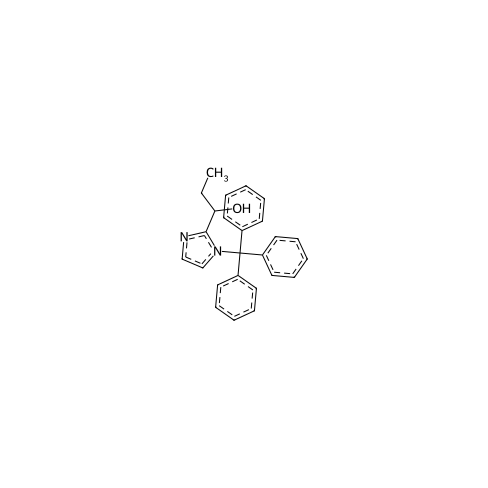 CCC(O)c1nccn1C(c1ccccc1)(c1ccccc1)c1ccccc1